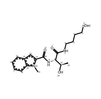 CCCCCCCCCCCCCCNC(=O)[C@@H](NC(=O)c1cc2ccccc2n1C)[C@@H](C)O